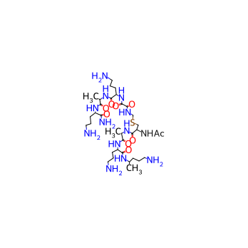 CC(=O)NC(CSCNC(=O)C(=O)NC(CCCN)C(=O)NC(C)C(=O)NC(CCCN)C(N)=O)C(=O)NC(C)C(=O)NC(CCCN)C(=O)NC(C)CCCN